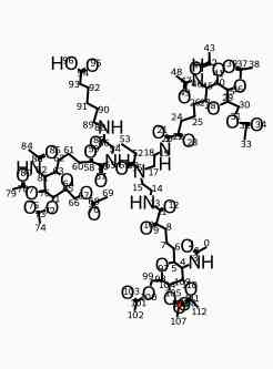 CC(=O)NC1C(CCCC(=O)C(=O)NCCN(CCNC(=O)C(=O)CCCC2OC(COC(C)=O)C(OC(C)=O)C(OC(C)=O)C2NC(C)=O)C(=O)CC[C@H](NC(=O)C(=O)CCCC2OC(COC(C)=O)C(OC(C)=O)C(OC(C)=O)C2NC(C)=O)C(=O)NCCCCCC(=O)O)OC(COC(C)=O)C(OC(C)=O)C1OC(C)=O